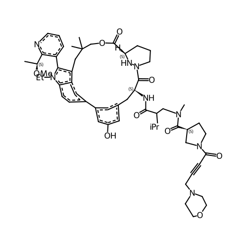 CCn1c(-c2cccnc2[C@H](C)OC)c2c3cc(ccc31)-c1cc(O)cc(c1)C[C@H](NC(=O)C(CN(C)C(=O)[C@H]1CCN(C(=O)C#CCN3CCOCC3)C1)C(C)C)C(=O)N1CCC[C@H](N1)C(=O)OCC(C)(C)C2